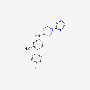 Cc1cc(NC2CCN(c3ncccn3)CC2)ccc1-c1ccc(F)cc1F